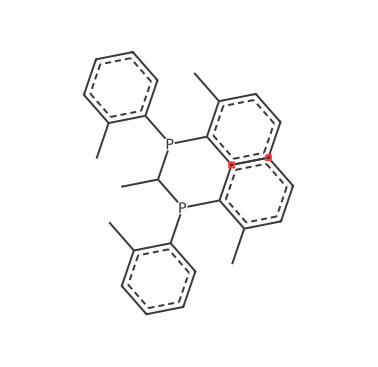 Cc1ccccc1P(c1ccccc1C)C(C)P(c1ccccc1C)c1ccccc1C